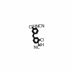 N#CNc1ccc(Cc2ccc(NC#N)c(Cl)c2)cc1Cl